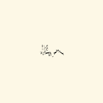 CN.O.O.[I][Pb][I]